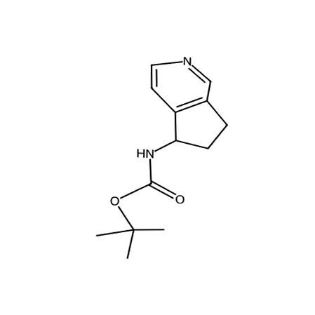 CC(C)(C)OC(=O)NC1CCc2cnccc21